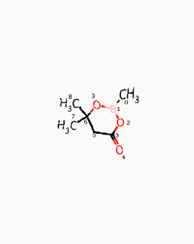 CB1OC(=O)CC(C)(C)O1